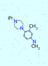 C=Nc1ccc(N2CCN(C(C)C)CC2)c(C)c1